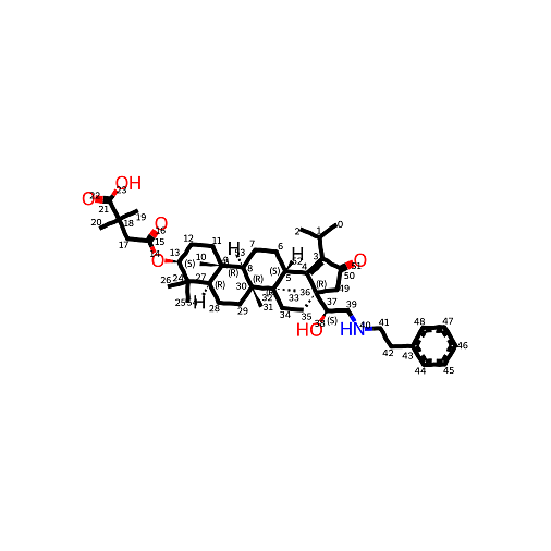 CC(C)C1=C2[C@H]3CC[C@@H]4[C@@]5(C)CC[C@H](OC(=O)CC(C)(C)C(=O)O)C(C)(C)[C@@H]5CC[C@@]4(C)[C@]3(C)CC[C@@]2([C@H](O)CNCCc2ccccc2)CC1=O